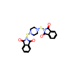 O=C1c2ccccc2C(=O)N1SN1CCN(SN2C(=O)c3ccccc3C2=O)CC1